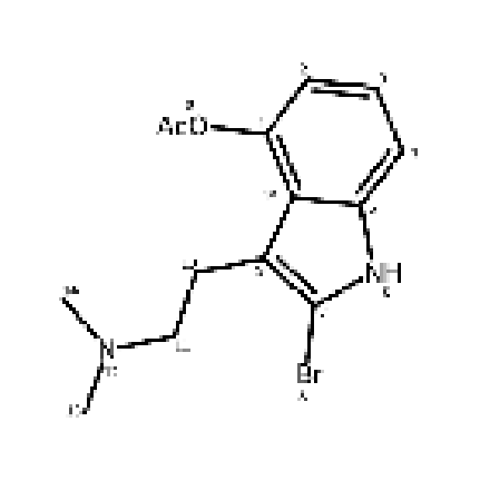 CC(=O)Oc1cccc2[nH]c(Br)c(CCN(C)C)c12